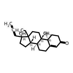 C=C=C[C@]1(O)CC[C@H]2[C@@H]3CCC4=CC(=O)CC[C@@H]4[C@@]3(C)CCC21CC